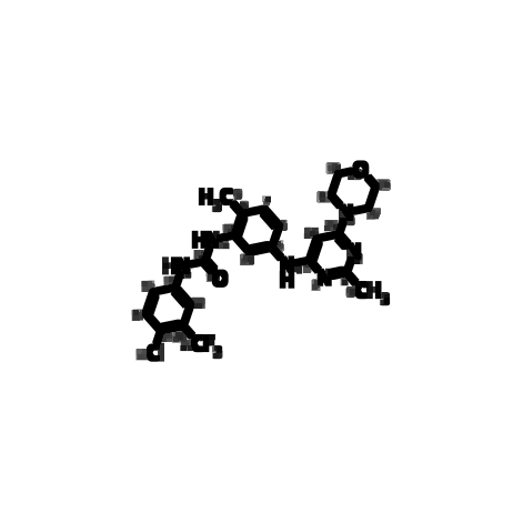 Cc1nc(Nc2ccc(C)c(NC(=O)Nc3ccc(Cl)c(C(F)(F)F)c3)c2)cc(N2CCOCC2)n1